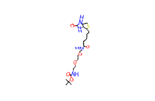 CC(C)(C)OC(=O)NCCOCCOCCNC(=O)CCCCC1SCC2NC(=O)NC21